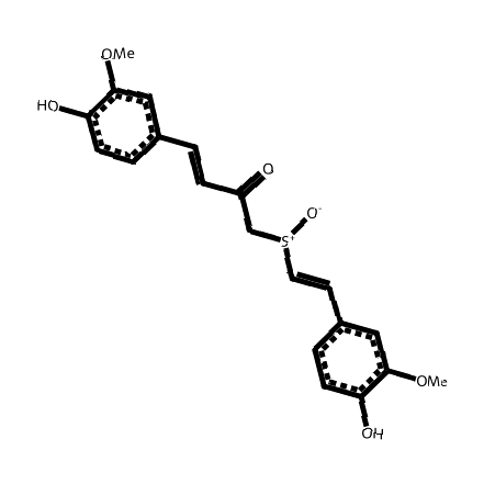 COc1cc(C=CC(=O)C[S+]([O-])C=Cc2ccc(O)c(OC)c2)ccc1O